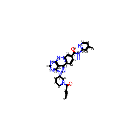 CC#CC(=O)N1CCCC(n2nc(-c3ccc(C(=O)Nc4cc(C)ccn4)cc3)c3c(N)ncnc32)C1